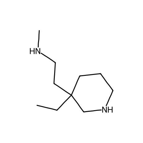 CCC1(CCNC)CCCNC1